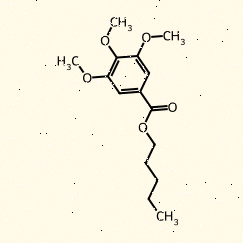 CCCCCOC(=O)c1cc(OC)c(OC)c(OC)c1